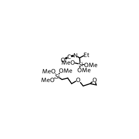 CCC(N=C=O)[Si](OC)(OC)OC.CO[Si](CCCOCC1CO1)(OC)OC